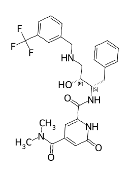 CN(C)C(=O)c1cc(C(=O)N[C@@H](Cc2ccccc2)[C@H](O)CNCc2cccc(C(F)(F)F)c2)[nH]c(=O)c1